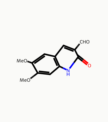 COc1cc2cc(C=O)c(=O)[nH]c2cc1OC